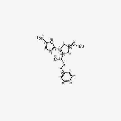 CC(C)(C)O[C@@H]1C[C@@H](c2ncc(C(C)(C)C)o2)N(C(=O)OCc2ccccc2)C1